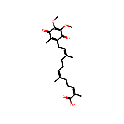 COC1=C(OC)C(=O)C(CC=C(C)CCC=C(C)CCC=C(C)C(=O)O)=C(C)C1=O